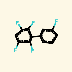 Fc1cccc(-c2c(F)c(F)cc(F)c2F)c1